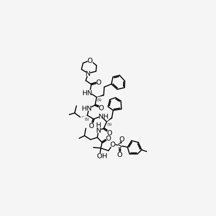 Cc1ccc(S(=O)(=O)OCC(C)(O)C(=O)C(CC(C)C)NC(=O)[C@H](Cc2ccccc2)NC(=O)[C@H](CC(C)C)NC(=O)[C@H](CCc2ccccc2)NC(=O)CN2CCOCC2)cc1